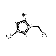 CC[n+]1ccn(C)n1.[Br-]